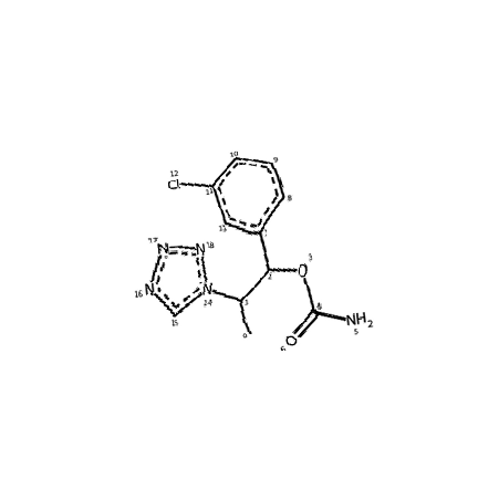 CC(C(OC(N)=O)c1cccc(Cl)c1)n1cnnn1